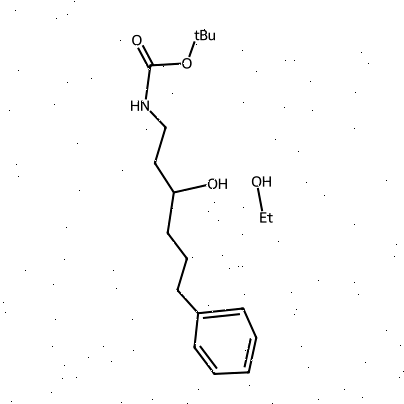 CC(C)(C)OC(=O)NCCC(O)CCCc1ccccc1.CCO